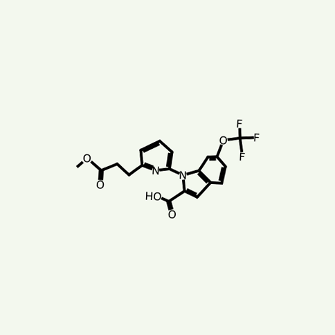 COC(=O)CCc1cccc(-n2c(C(=O)O)cc3ccc(OC(F)(F)F)cc32)n1